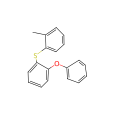 Cc1ccccc1Sc1ccccc1Oc1ccccc1